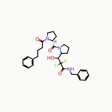 O=C([C@H]1CCCN1C(=O)CCCc1ccccc1)N1CCCC1C(O)C(F)(F)C(=O)NCc1ccccc1